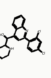 OC(c1cc(-c2ccc(Cl)cc2Cl)nc2ccccc12)C1CCCCN1